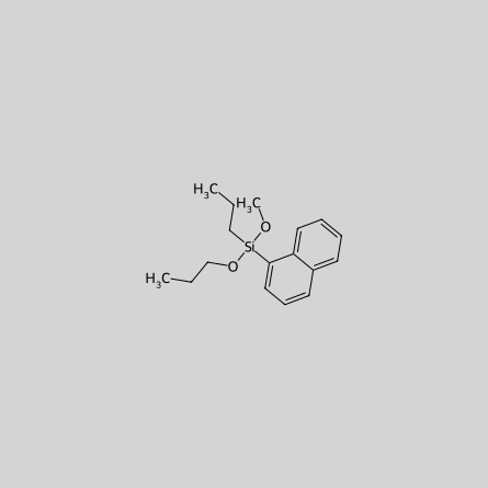 CCCO[Si](CCC)(OC)c1cccc2ccccc12